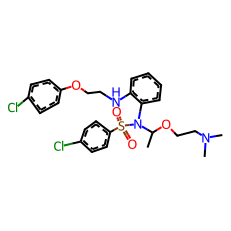 CC(OCCN(C)C)N(c1ccccc1NCCOc1ccc(Cl)cc1)S(=O)(=O)c1ccc(Cl)cc1